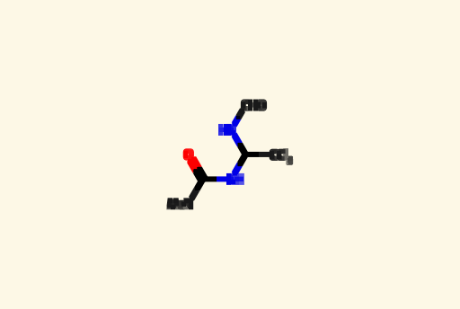 CNC(=O)NC(NC=O)C(Cl)(Cl)Cl